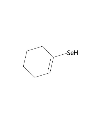 [SeH]C1=CCCCC1